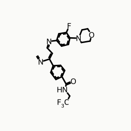 C=N/C(=C\C=N/c1ccc(N2CCOCC2)c(F)c1)c1ccc(C(=O)NCC(F)(F)F)cc1